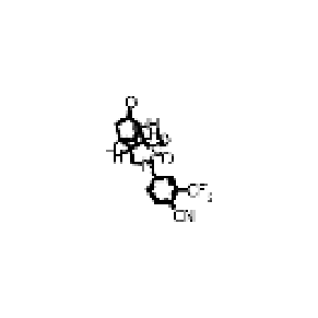 N#Cc1ccc(N2C[C@@H]3[C@@H]4CC(=O)[C@@H](C4)[C@@H]3S2(=O)=O)cc1C(F)(F)F